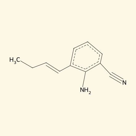 CC/C=C/c1cccc(C#N)c1N